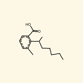 CCCCCC(C)c1c(C)cccc1C(=O)O